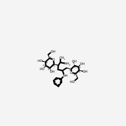 CC(N)C(CC(C[C@@H]1O[C@H](CO)[C@H](O)[C@H](O)[C@H]1O)Nc1ccccc1)[C@@H]1O[C@H](CO)[C@H](O)[C@H](O)[C@H]1O